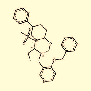 CS(=O)(=O)N[C@H]1CCN(c2cnccc2OCc2ccccc2)[C@H]1COC1CCC(c2ccccc2)CC1